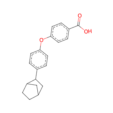 O=C(O)c1ccc(Oc2ccc(C3CC4CCC3C4)cc2)cc1